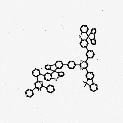 CC1(C)c2ccccc2-c2ccc(-c3cc(-c4cccc(-c5ccc6c(c5)C5(c7ccccc7S6)c6ccccc6-c6ccccc65)c4)nc(-c4ccc(-c5ccc6c(c5)C5(c7ccccc7Sc7ccc(-c8ccccc8-c8cc(-c9ccccc9)nc(-c9ccccc9)n8)cc75)c5ccccc5-6)cc4)n3)cc21